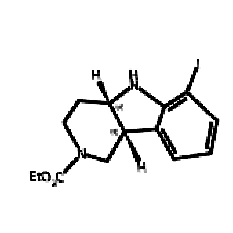 CCOC(=O)N1CC[C@@H]2Nc3c(I)cccc3[C@@H]2C1